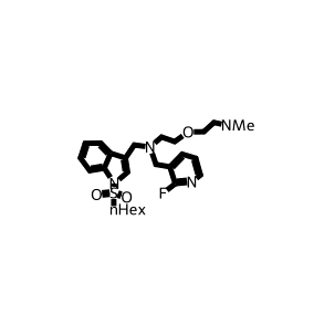 CCCCCCS(=O)(=O)n1cc(CN(CCOCCNC)Cc2cccnc2F)c2ccccc21